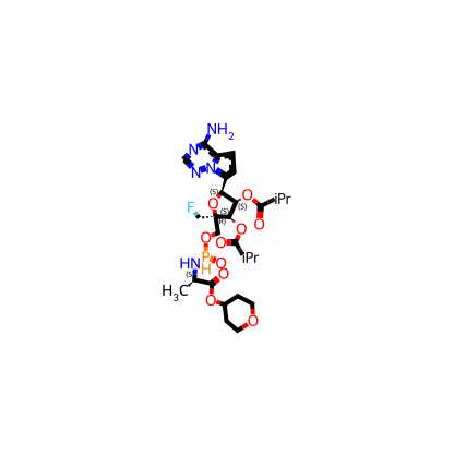 CC(C)C(=O)O[C@H]1[C@H](c2ccc3c(N)ncnn23)O[C@](CF)(CO[PH](=O)N[C@@H](C)C(=O)OC2CCOCC2)[C@H]1OC(=O)C(C)C